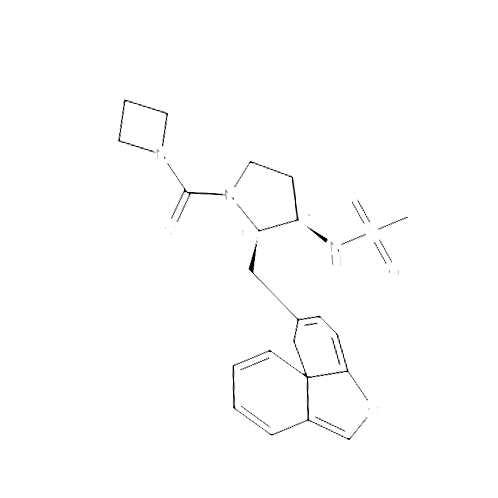 CS(=O)(=O)N[C@@H]1CCN(C(=O)N2CCC2)[C@@H]1CC1=CC=C2OC=C3C=CC=CC32C1